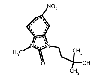 Cn1c(=O)n(CCC(C)(C)O)c2cc([N+](=O)[O-])ccc21